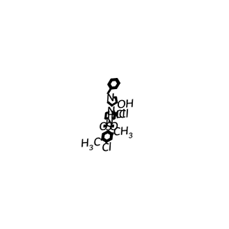 Cc1cc(S(=O)(=O)N2CCN([C@H]3CN(Cc4ccccc4)C[C@@H]3O)CC2)c(C)cc1Cl.Cl.Cl